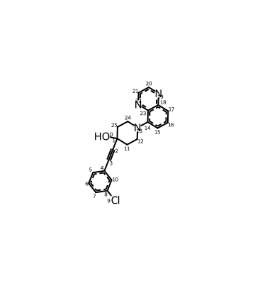 OC1(C#Cc2cccc(Cl)c2)CCN(c2cccc3nccnc23)CC1